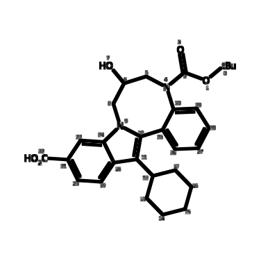 CC(C)(C)OC(=O)N1CC(O)Cn2c(c(C3CCCCC3)c3ccc(C(=O)O)cc32)-c2ccccc21